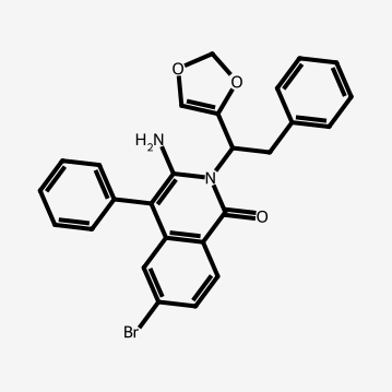 Nc1c(-c2ccccc2)c2cc(Br)ccc2c(=O)n1C(Cc1ccccc1)C1=COCO1